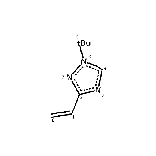 C=Cc1ncn(C(C)(C)C)n1